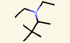 CCN(CC)C(C)C(C)(C)C